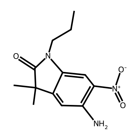 CCCN1C(=O)C(C)(C)c2cc(N)c([N+](=O)[O-])cc21